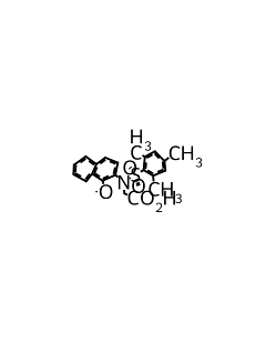 Cc1cc(C)c(S(=O)(=O)N(CC(=O)O)c2ccc3ccccc3c2[O])c(C)c1